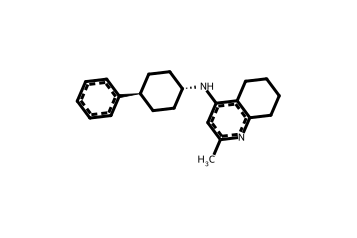 Cc1cc(N[C@H]2CC[C@H](c3ccccc3)CC2)c2c(n1)CCCC2